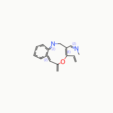 C=C/C1=C(\C=N/C)C/N=c2/cccc/c2=C/C(=C)O1